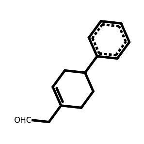 O=CCC1=CCC(c2ccccc2)CC1